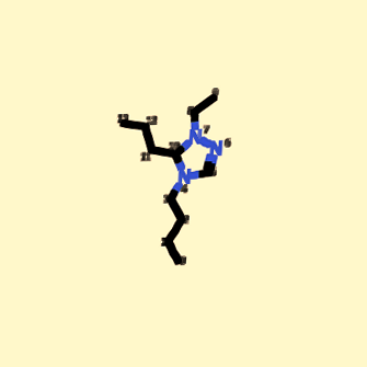 CCCCN1C=NN(CC)C1CCC